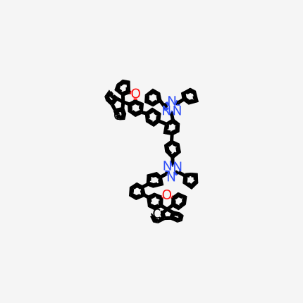 c1ccc(-c2nc(-c3ccc(-c4ccc(-c5nc(-c6ccccc6)nc(-c6ccccc6)n5)c(-c5ccc(-c6ccc7c(c6)Oc6ccccc6C76c7ccccc7-c7ccccc76)cc5)c4)cc3)nc(-c3ccc(-c4ccccc4-c4ccc5c(c4)Oc4ccccc4C54c5ccccc5-c5ccccc54)cc3)n2)cc1